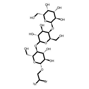 [2H]C(Br)CO[C@@H]1O[C@H](CO)[C@@H](OC2O[C@H](CO)[C@H](O[C@H]3O[C@H](CO)[C@H](O)[C@H](O)[C@H]3O)[C@H](O)[C@H]2O)[C@H](O)[C@H]1O